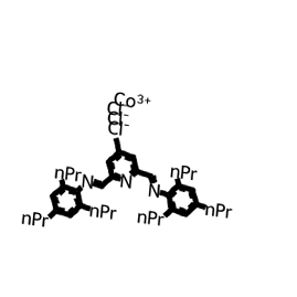 CCCc1cc(CCC)c(N=Cc2cc(C)cc(C=Nc3c(CCC)cc(CCC)cc3CCC)n2)c(CCC)c1.[Cl-].[Cl-].[Cl-].[Co+3]